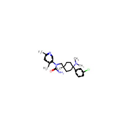 Cc1cc(C(F)(F)F)ncc1N(C[C@]1(C)CC[C@@](c2cccc(Cl)c2)(N(C)C)CC1)C(N)=O